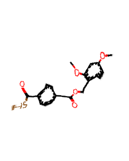 COc1ccc(COC(=O)c2ccc(C(=O)S)cc2)c(OC)c1